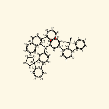 CC1(C)c2ccccc2-c2cccc(-c3cccc(N(c4ccc5c(c4)C4(CCCC4)c4ccccc4-5)c4c(-c5ccccc5)ccc5ccccc45)c3)c21